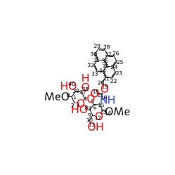 COC1COC(OC2C(O)C(CO)OC(OC)C2NC(=O)OCc2ccc3ccc4cccc5ccc2c3c45)C(O)C1O